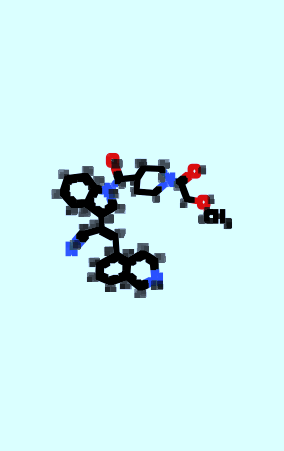 COCC(=O)N1CCC(C(=O)n2cc(/C(C#N)=C/c3cccc4cnccc34)c3ccccc32)CC1